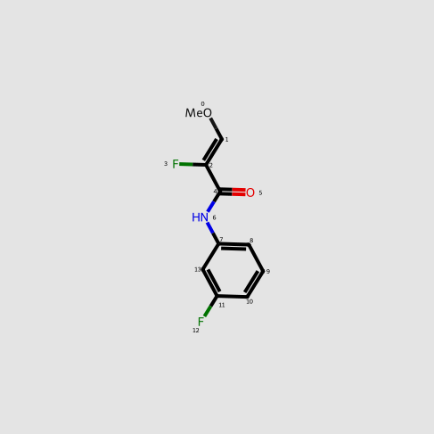 COC=C(F)C(=O)Nc1cccc(F)c1